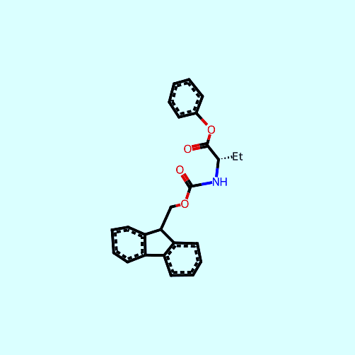 CC[C@H](NC(=O)OCC1c2ccccc2-c2ccccc21)C(=O)Oc1ccccc1